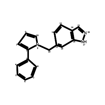 [c]1cc(-c2ccccc2)n(Cc2ccc3cn[nH]c3c2)c1